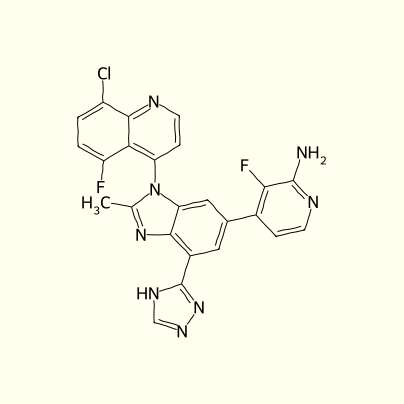 Cc1nc2c(-c3nnc[nH]3)cc(-c3ccnc(N)c3F)cc2n1-c1ccnc2c(Cl)ccc(F)c12